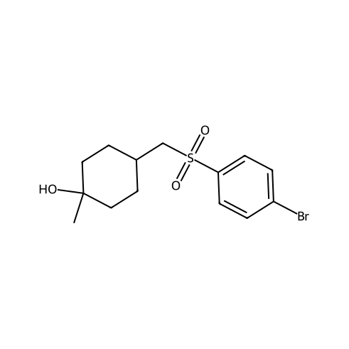 CC1(O)CCC(CS(=O)(=O)c2ccc(Br)cc2)CC1